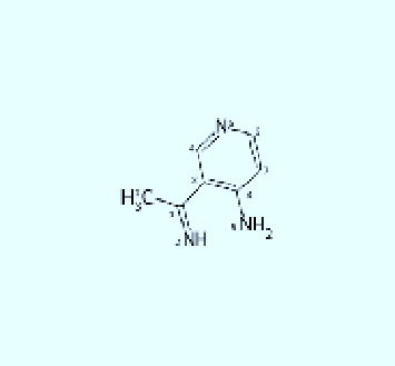 CC(=N)c1cnccc1N